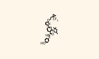 CC1CN(c2nc(-n3ccc(OCCC4(C(F)(F)F)CC4)n3)ccc2C(=O)NSc2ccc(O)cc2)C(C)(C)C1